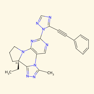 CC[C@@]12CCCN1c1nc(-n3ncnc3C#Cc3ccccc3)ncc1-n1c(C)nnc12